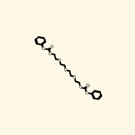 O=C(OCCOCCOCCOCCOC(=O)Oc1ccccc1)Oc1ccccc1